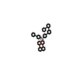 c1ccc(-c2ccc(N(c3ccc(-c4cccc(-c5ccccc5-c5ccccc5)c4)cc3)c3ccc(-c4cccc5cccc(-c6ccccc6)c45)cc3)cc2)cc1